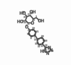 OCC1O[C@H](Oc2ccc(-c3ccc(-c4nnn[nH]4)cc3)cc2)[C@H](O)C(O)[C@@H]1O